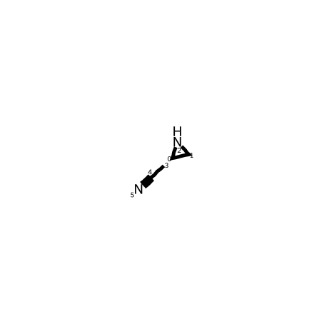 C1CN1.CC#N